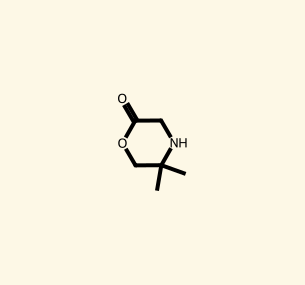 CC1(C)COC(=O)CN1